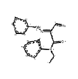 CCN(C(=O)/C(C=N)=N/Nc1ccccc1)c1ccccc1